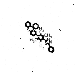 Cc1c(C)c(-c2nnc(-c3ccccc3)s2)c(C)c(C)c1-c1ccc2c(c1)C1(CCCCC1)c1ccccc1S2